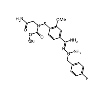 COc1cc(/C(N)=N/N(N)Cc2ccc(F)cc2)ccc1SN(CC(N)=O)C(=O)OC(C)(C)C